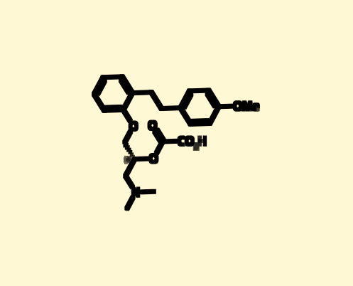 COc1ccc(CCc2ccccc2OC[C@@H](CN(C)C)OC(=O)C(=O)O)cc1